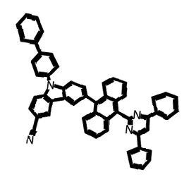 N#Cc1ccc2c(c1)c1cc(-c3c4ccccc4c(-c4nc(-c5ccccc5)cc(-c5ccccc5)n4)c4ccccc34)ccc1n2-c1ccc(-c2ccccc2)cc1